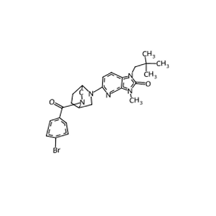 Cn1c(=O)n(CC(C)(C)C)c2ccc(N3CC4CCC3CN4C(=O)c3ccc(Br)cc3)nc21